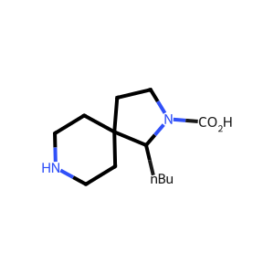 CCCCC1N(C(=O)O)CCC12CCNCC2